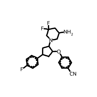 N#Cc1ccc(OC2CC(c3ccc(F)cc3)CC2N2CC(N)CC(F)(F)C2)cc1